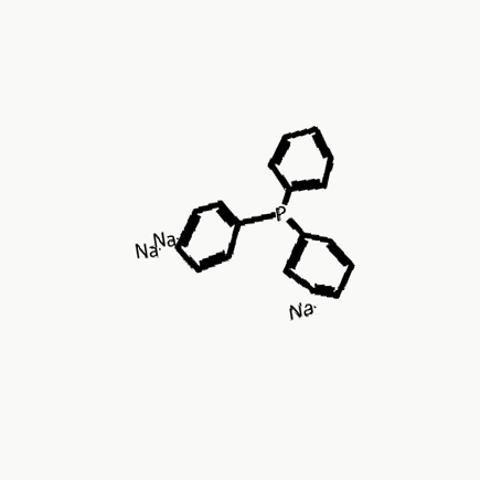 [Na].[Na].[Na].c1ccc(P(c2ccccc2)c2ccccc2)cc1